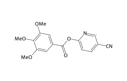 COc1cc(C(=O)Oc2ccc(C#N)[c]n2)cc(OC)c1OC